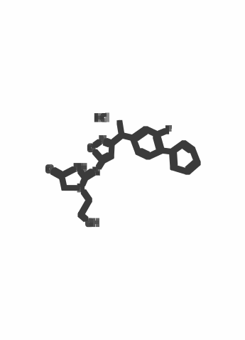 CC(c1ccc(-c2ccccc2)c(F)c1)c1cc(/N=C2\NC(=O)CN2CCO)on1.Cl